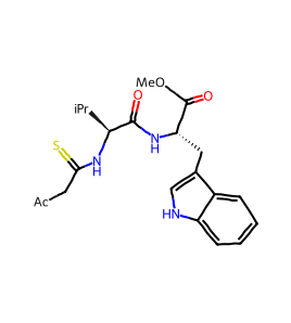 COC(=O)[C@H](Cc1c[nH]c2ccccc12)NC(=O)[C@@H](NC(=S)CC(C)=O)C(C)C